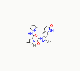 CC(=O)c1nn(CC(=O)N2[C@H](C(=O)Nc3nc(C)ccc3C)C[C@@]3(C)C[C@@H]23)c2cc3c(cc12)NC(=O)CC3